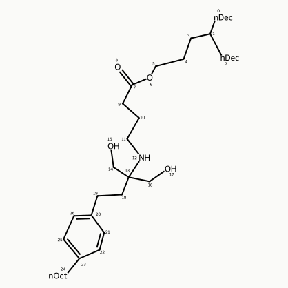 CCCCCCCCCCC(CCCCCCCCCC)CCCOC(=O)CCCNC(CO)(CO)CCc1ccc(CCCCCCCC)cc1